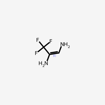 N/C=C(/N)C(F)(F)F